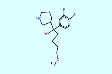 COCCCCC(O)(c1ccc(F)c(F)c1)C1CCCNC1